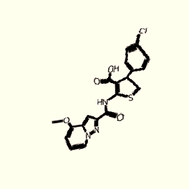 COc1cccn2nc(C(=O)NC3=C(C(=O)O)C(c4ccc(Cl)cc4)CS3)cc12